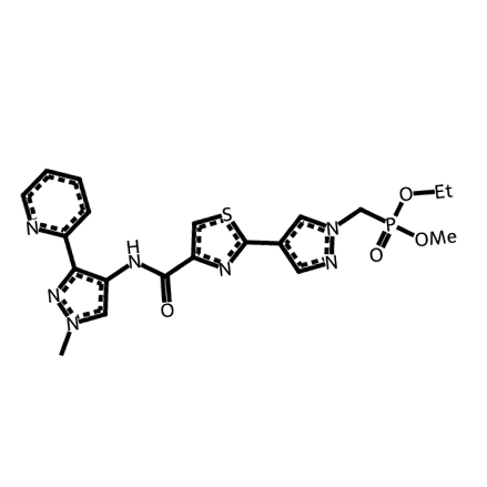 CCOP(=O)(Cn1cc(-c2nc(C(=O)Nc3cn(C)nc3-c3ccccn3)cs2)cn1)OC